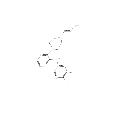 O=CC=CN1CCN(c2nccnc2Nc2cnc(C(F)(F)F)c(F)c2)CC1